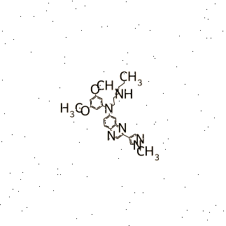 CCCNCCN(c1cc(OC)cc(OC)c1)c1ccc2ncc(-c3cnn(C)c3)nc2c1